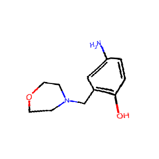 Nc1ccc(O)c(CN2CCOCC2)c1